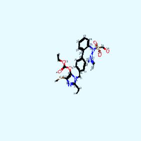 CCOC(=O)Oc1c(SC)nc(CC)n1Cc1ccc(-c2ccccc2N(N(C)C)S(=O)(=O)C=O)cc1